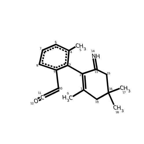 CC1=C(c2c(C)cccc2C=C=O)C(=N)CC(C)(C)C1